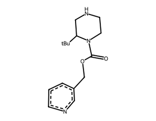 CC(C)(C)C1CNCCN1C(=O)OCc1cccnc1